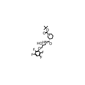 CC(C)(C)OC(=O)N1CCC[C@H](C(=O)NCC(O)COc2c(F)c(F)cc(F)c2F)C1